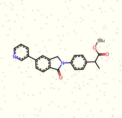 CC(C(=O)OC(C)(C)C)c1ccc(N2Cc3cc(-c4cccnc4)ccc3C2=O)cc1